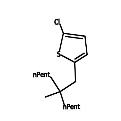 CCCCCC(C)(CCCCC)Cc1ccc(Cl)s1